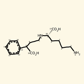 NCCCC[C@H](NCCC(C(=O)O)c1ccccc1)C(=O)O